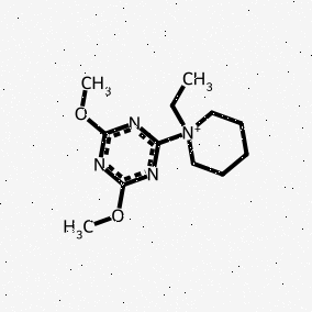 CC[N+]1(c2nc(OC)nc(OC)n2)CCCCC1